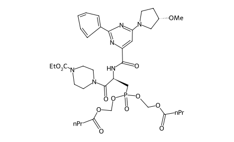 CCCC(=O)OCOP(=O)(C[C@H](NC(=O)c1cc(N2CC[C@H](OC)C2)nc(-c2ccccc2)n1)C(=O)N1CCN(C(=O)OCC)CC1)OCOC(=O)CCC